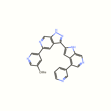 COc1cncc(-c2cc3c(-c4cc5c(-c6cccnc6)cncc5[nH]4)n[nH]c3cn2)c1